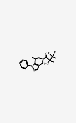 CC1CN(C(=O)C(C)(O)C(F)(F)F)Cc2cnn(-c3ccccc3)c21